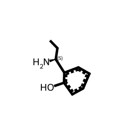 CC[C@H](N)c1ccccc1O